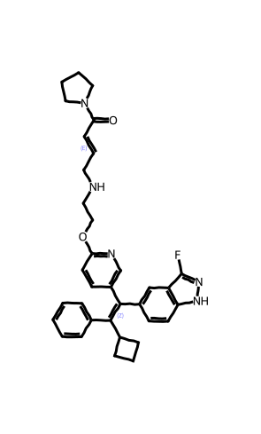 O=C(/C=C/CNCCOc1ccc(/C(=C(\c2ccccc2)C2CCC2)c2ccc3[nH]nc(F)c3c2)cn1)N1CCCC1